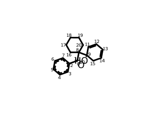 O=C(c1ccccc1)C1(C2(O)C=CC=CC2)CCCCC1